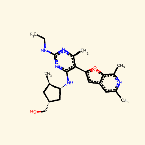 Cc1cc2cc(-c3c(C)nc(NCC(F)(F)F)nc3N[C@@H]3C[C@H](CO)C[C@H]3C)oc2c(C)n1